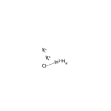 [Cl][InH4-2].[K+].[K+]